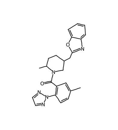 Cc1ccc(-n2nccn2)c(C(=O)N2CC(Cc3nc4ccccc4o3)CCC2C)c1